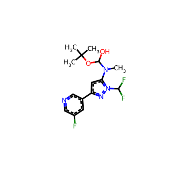 CN(c1cc(-c2cncc(F)c2)nn1C(F)F)C(O)OC(C)(C)C